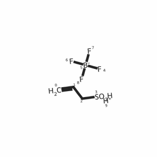 C=CCS(=O)(=O)O.F[B-](F)(F)F.[H+]